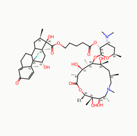 CC[C@H]1OC(=O)[C@H](C)[C@@H](O)[C@H](C)[C@@H](O[C@@H]2O[C@H](C)C[C@@H](N(C)C)[C@H]2OC(=O)CCCCOC(=O)[C@@]2(O)[C@H](C)CC3C4CCC5=CC(=O)C=C[C@]5(C)[C@@]4(F)[C@@H](O)C[C@@]32C)[C@](C)(O)C[C@@H](C)CN(C)[C@H](C)[C@@H](O)[C@]1(C)O